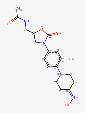 CC(=O)NCC1CN(c2ccc(N3CCC(=NO)CC3)c(F)c2)C(=O)O1